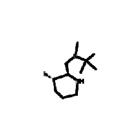 CN(C[C@H]1NCCC[C@@H]1I)C(C)(C)C